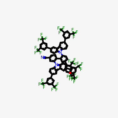 N#Cc1ccc(-c2cc(-c3ccc(C(F)(F)F)cc3C(F)(F)F)ccc2-n2c3ccc(-c4cc(C(F)(F)F)cc(C(F)(F)F)c4)cc3c3cc(-c4cc(C(F)(F)F)cc(C(F)(F)F)c4)ccc32)c(-n2c3ccc(-c4cc(C(F)(F)F)cc(C(F)(F)F)c4)cc3c3cc(-c4cc(C(F)(F)F)cc(C(F)(F)F)c4)ccc32)c1